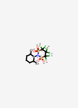 CCC1CCCC(CC)B1N1S(=O)(=O)C(F)(F)C(F)(F)C(F)(F)S1(=O)=O